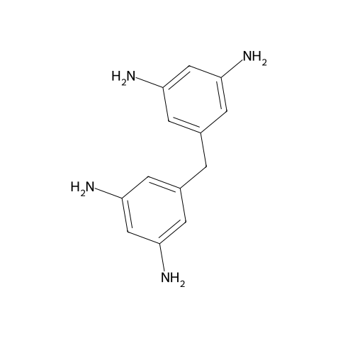 Nc1cc(N)cc(Cc2cc(N)cc(N)c2)c1